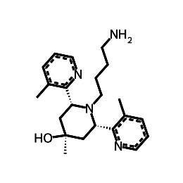 Cc1cccnc1[C@H]1C[C@](C)(O)C[C@@H](c2ncccc2C)N1CCCCN